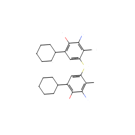 Cc1c(Sc2cc(C3CCCCC3)c(O)c(N)c2C)cc(C2CCCCC2)c(O)c1N